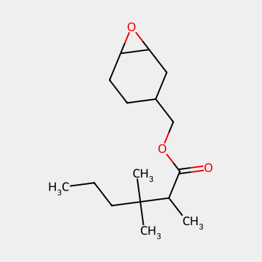 CCCC(C)(C)C(C)C(=O)OCC1CCC2OC2C1